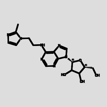 Cc1nccn1CCNc1ncnc2c1ncn2[C@@H]1O[C@H](CO)C(O)C1O